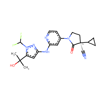 CC(C)(O)c1cc(Nc2cc(N3CC[C@@](C#N)(C4CC4)C3=O)ccn2)nn1C(F)F